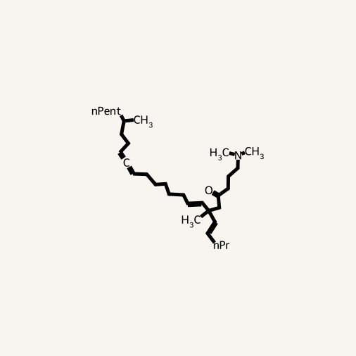 CCC/C=C/C(C)(/C=C/CCCCCC=C=CCCC(C)CCCCC)CC(=O)CCCN(C)C